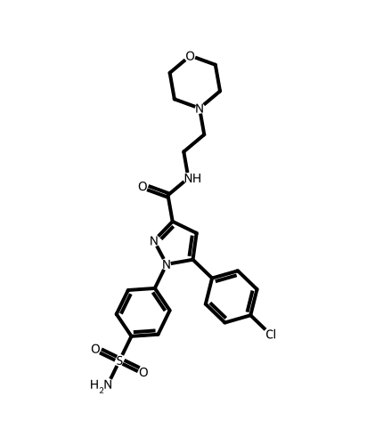 NS(=O)(=O)c1ccc(-n2nc(C(=O)NCCN3CCOCC3)cc2-c2ccc(Cl)cc2)cc1